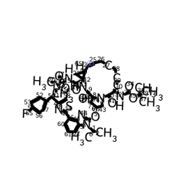 CC(C)n1c(O[C@@H]2C[C@H]3C(=O)N[C@]4(C(=O)NS(=O)(=O)N(C)C)C[C@H]4/C=C\CCCCC[C@H](NC(=O)OC(C)(C)C)C(=O)N3C2)nc2c(-c3nc(Cc4ccc(F)cc4)cs3)cccc21